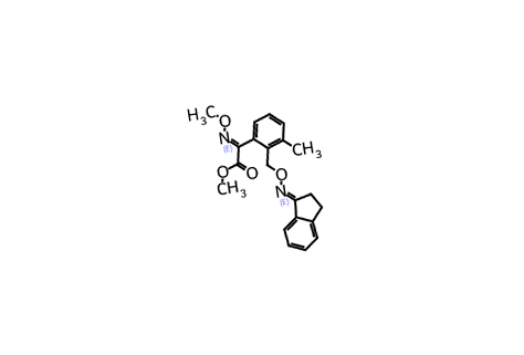 CO/N=C(/C(=O)OC)c1cccc(C)c1CO/N=C1\CCc2ccccc21